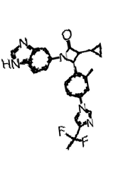 Cc1cc(-n2cnc(C(C)(F)F)c2)ccc1[C@@H]1C(C2CC2)C(=O)N1c1ccc2[nH]cnc2c1